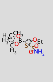 CCOc1cc(B2OC(C)(C)C(C)(C)O2)sc1S(N)(=O)=O